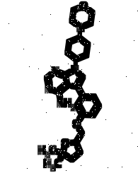 CC1(C)CCC(COc2cccc(-c3cn([C@H]4CC[C@@H](N5CCOCC5)CC4)c4ncnc(N)c34)c2)O1